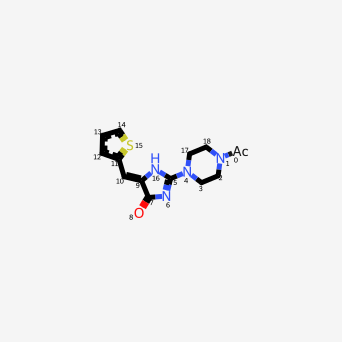 CC(=O)N1CCN(C2=NC(=O)/C(=C/c3cccs3)N2)CC1